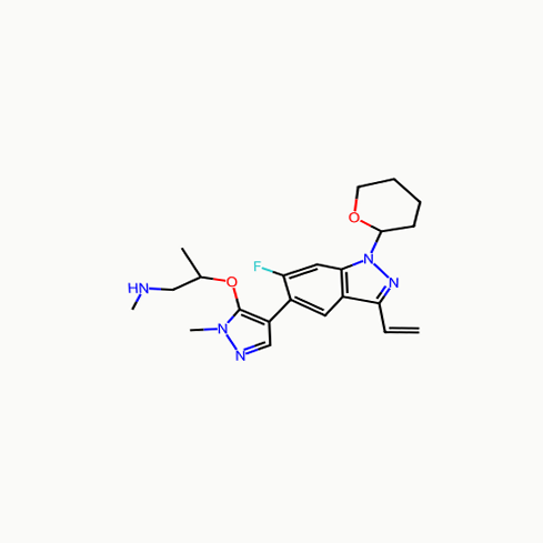 C=Cc1nn(C2CCCCO2)c2cc(F)c(-c3cnn(C)c3OC(C)CNC)cc12